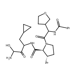 CC(C)C(=O)NC(C(=O)N1CC[C@H](C(C)C)[C@H]1C(=O)NC(CC1CC1)C(=O)C(N)O)C1CCOC1